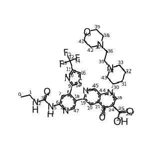 CCNC(=O)Nc1cc(-c2nc(C(F)(F)F)cs2)c(-c2cc3c(=O)c(C(=O)O)cn([C@H]4CCCN(CCN5CCOCC5)C4)c3cn2)cn1